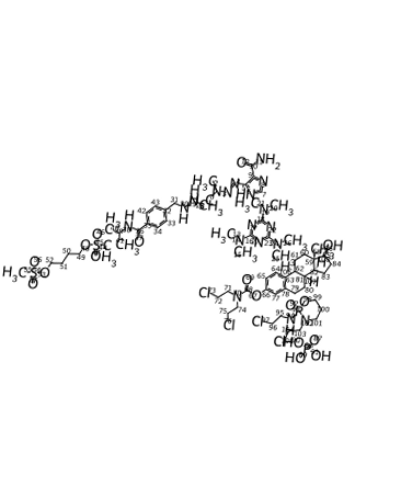 CN(C)/N=N/c1[nH]cnc1C(N)=O.CN(C)c1nc(N(C)C)nc(N(C)C)n1.CNNCc1ccc(C(=O)NC(C)C)cc1.CS(=O)(=O)OCCCCOS(C)(=O)=O.C[C@]12CC[C@@H]3c4ccc(OC(=O)N(CCCl)CCCl)cc4CC[C@H]3[C@@H]1CC[C@@H]2O.O=P(O)(O)O.O=P1(NCCCl)OCCCN1CCCl